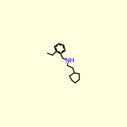 CCc1ccccc1CNCCC1CCCCC1